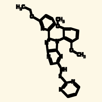 CCOc1cccc(-c2nc3ncc(NSc4ncccn4)nc3n2-c2c(OC)cccc2OC)n1